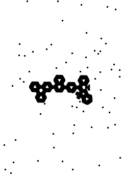 CC1(C)c2ccccc2-c2nc3ccccc3c(-c3ccc(-c4ccc(-c5ccc6c7ccccc7c7ccccc7c6c5)c5ccccc45)cc3)c21